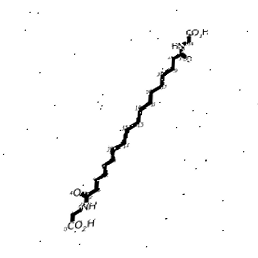 O=C(O)CNC(=O)CCCCCCCCCCCCCCCCC(=O)NCC(=O)O